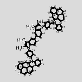 Cc1c(C)n(-c2ccc(N(c3ccccc3)c3cc4cccc5ccc6cccc3c6c54)cc2)c2ccc(-c3ccc4c(c3)c(C)c(C)n4-c3ccc(N(c4ccccc4)c4cc5cccc6ccc7cccc4c7c65)cc3)cc12